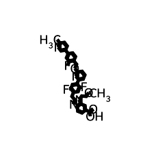 COCCn1c(Cc2cc(F)c(-c3cccc(OCc4ccc(-c5ccc(C)nc5)cc4F)n3)cc2F)nc2ccc(C(=O)O)cc21